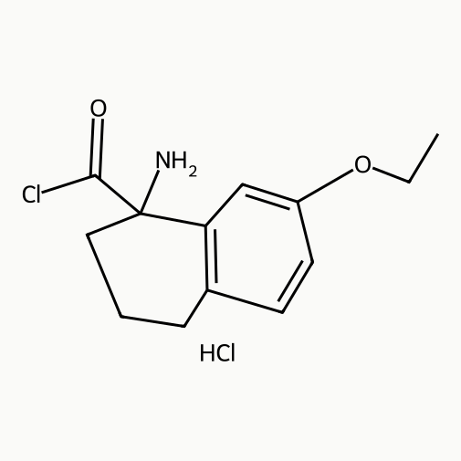 CCOc1ccc2c(c1)C(N)(C(=O)Cl)CCC2.Cl